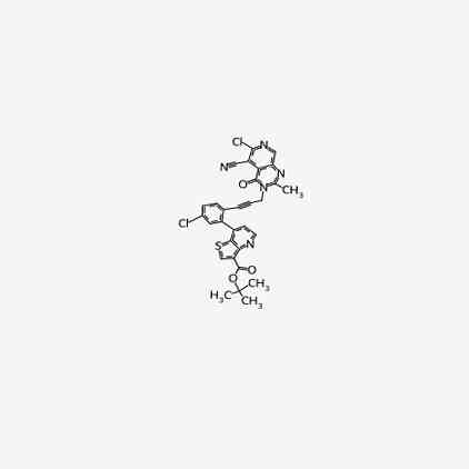 Cc1nc2cnc(Cl)c(C#N)c2c(=O)n1CC#Cc1ccc(Cl)cc1-c1ccnc2c(C(=O)OC(C)(C)C)csc12